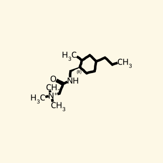 CCCC1CC[C@@H](CNC(=O)C[N+](C)(C)C)C(C)C1